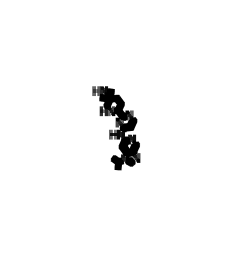 CC(C)n1cnc2cnc(Nc3ccnc(C4CCC5(CNC5)CN4)n3)cc21